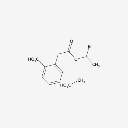 CC(=O)O.CC(Br)OC(=O)Cc1ccccc1C(=O)O